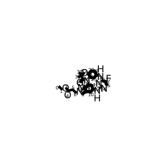 CCOC(=O)CCn1cc2cc(Nc3ncc(F)c(Nc4ccc5c(c4)NC(=O)C(C)(C)O5)n3)ccc2n1